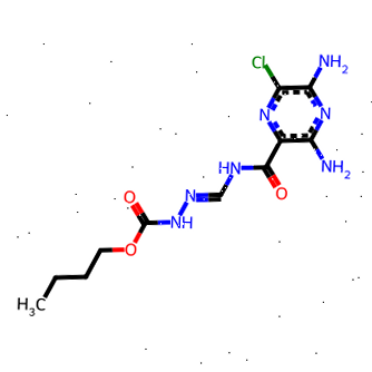 CCCCOC(=O)NN=CNC(=O)c1nc(Cl)c(N)nc1N